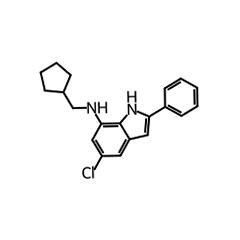 Clc1cc(NCC2CCCC2)c2[nH]c(-c3ccccc3)cc2c1